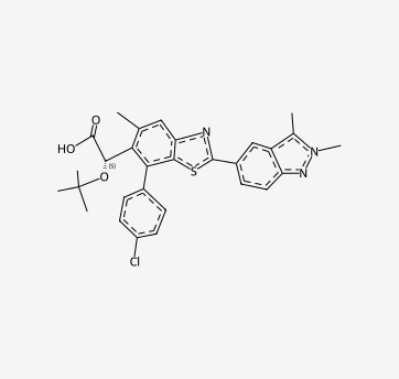 Cc1cc2nc(-c3ccc4nn(C)c(C)c4c3)sc2c(-c2ccc(Cl)cc2)c1[C@H](OC(C)(C)C)C(=O)O